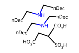 CCCCCCCCCCCNCCCCCCCCCCC.CCCCCCCCCCCNCCCCCCCCCCC.O=C(O)CC(C(=O)O)S(=O)(=O)O